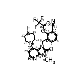 Cn1c(=O)n(Cc2cccc(C#N)c2OC(=O)C(F)(F)F)c2c(N3CCNCC3)ccnc21